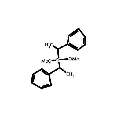 CO[Si](OC)(C(C)c1ccccc1)C(C)c1ccccc1